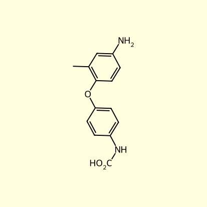 Cc1cc(N)ccc1Oc1ccc(NC(=O)O)cc1